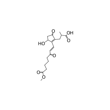 COC(=O)CCCCC(=O)C=CC1=C(CC(C)C(=O)O)C(=O)CC1O